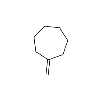 [C]=C1CCCCCC1